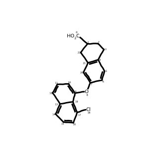 O=C(O)C1CCc2ccc(Oc3cccc4cccc(Cl)c34)cc2C1